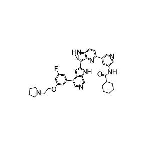 O=C(Nc1cncc(-c2ccc3[nH]nc(-c4cc5c(-c6cc(F)cc(OCCN7CCCC7)c6)cncc5[nH]4)c3n2)c1)C1CCCCC1